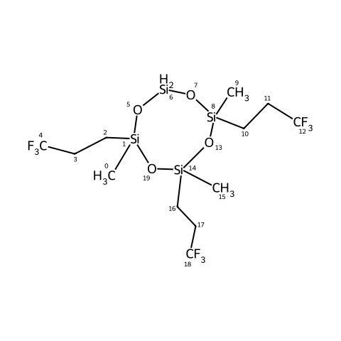 C[Si]1(CCC(F)(F)F)O[SiH2]O[Si](C)(CCC(F)(F)F)O[Si](C)(CCC(F)(F)F)O1